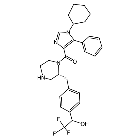 O=C(c1ncn(C2CCCCC2)c1-c1ccccc1)N1CCNC[C@H]1Cc1ccc(C(O)C(F)(F)F)cc1